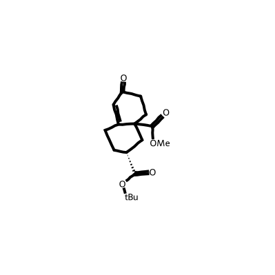 COC(=O)C12CCC(=O)C=C1CC[C@@H](C(=O)OC(C)(C)C)C2